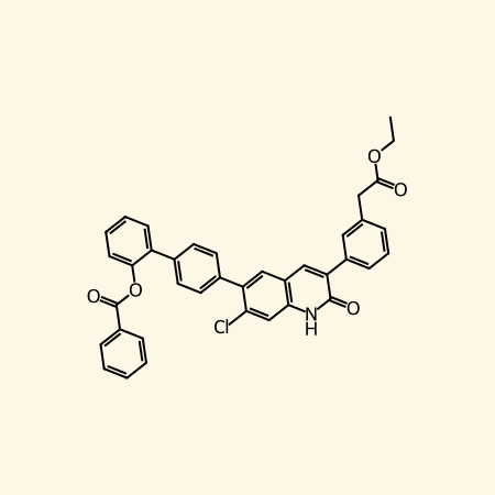 CCOC(=O)Cc1cccc(-c2cc3cc(-c4ccc(-c5ccccc5OC(=O)c5ccccc5)cc4)c(Cl)cc3[nH]c2=O)c1